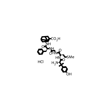 CSCC[C@@H](NC(=O)[C@@H](N)C(C)(C)c1ccc(O)cc1)C(=O)NCC(=O)N[C@@H](Cc1ccccc1)C(=O)NC12CC3CC(C1)CC(C(=O)O)(C3)C2.Cl